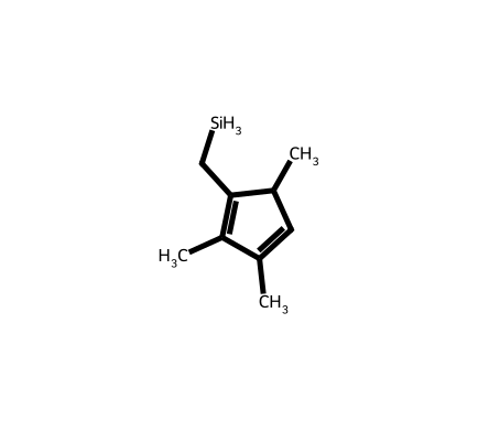 CC1=CC(C)C(C[SiH3])=C1C